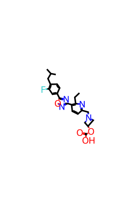 CCc1nc(CN2CC(OC(=O)O)C2)ccc1-c1noc(-c2ccc(CC(C)C)c(F)c2)n1